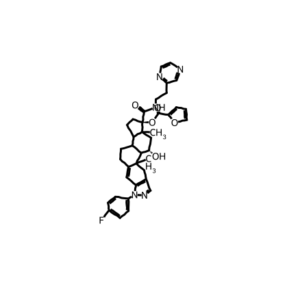 CC12Cc3cnn(-c4ccc(F)cc4)c3C=C1CCC1C2[C@@H](O)CC2(C)C1CC[C@]2(OC(=O)c1ccco1)C(=O)NCCc1cnccn1